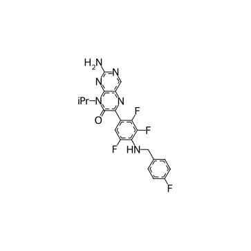 CC(C)n1c(=O)c(-c2cc(F)c(NCc3ccc(F)cc3)c(F)c2F)nc2cnc(N)nc21